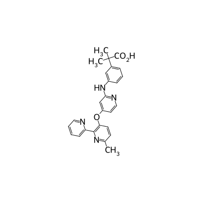 Cc1ccc(Oc2ccnc(Nc3cccc(C(C)(C)C(=O)O)c3)c2)c(-c2ccccn2)n1